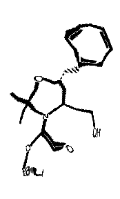 CC(C)(C)OC(=O)N1[C@H](CO)[C@@H](c2ccccc2)OC1(C)C